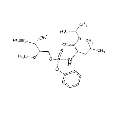 C#C[C@H](O)[C@@H](COP(=S)(NC(CC(C)C)C(=O)OC(C)C)Oc1ccccc1)OC